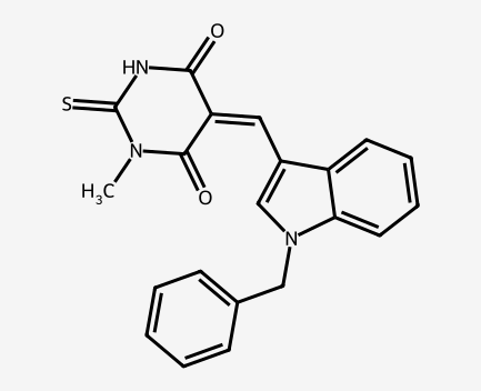 CN1C(=O)/C(=C\c2cn(Cc3ccccc3)c3ccccc23)C(=O)NC1=S